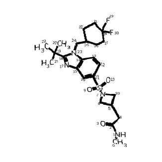 CNC(=O)CC1CN(S(=O)(=O)c2ccc3c(c2)nc(C(C)(C)C)n3CC2CCC(F)(F)CC2)C1